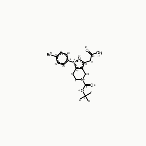 CC(C)(C)OC(=O)N1CCc2c(c(CC(=O)O)nn2-c2ccc(Br)cc2)C1